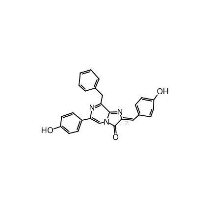 O=C1/C(=C/c2ccc(O)cc2)N=C2C(Cc3ccccc3)=NC(c3ccc(O)cc3)=CN12